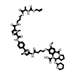 C=CCOC(=O)NC(C)C(=O)OCCCNC(=O)c1cnc(C(=O)Nc2ccc(-c3nc(NC(=O)CCCOc4cc5c(cc4OC)C(=O)N4CCCC4C(OC4CCCCO4)N5C(=O)O)cn3C)cc2)n1C